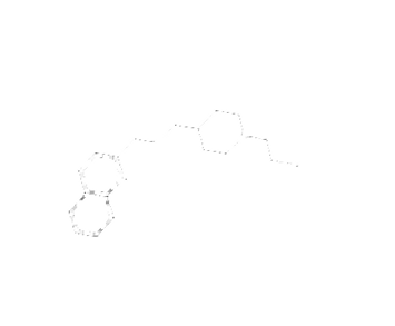 BrCCN1CCC(COCc2ccc3ccccc3n2)CC1